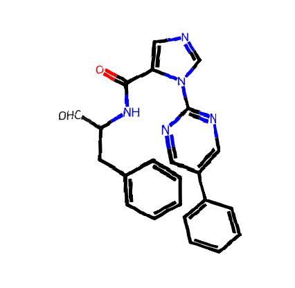 O=CC(Cc1ccccc1)NC(=O)c1cncn1-c1ncc(-c2ccccc2)cn1